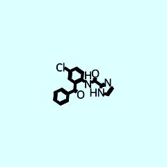 O=C(Nc1ccc(Cl)cc1C(=O)c1ccccc1)c1ncc[nH]1